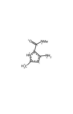 CNC(=O)c1[nH]c(C)cc1N